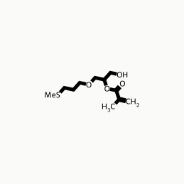 C=C(C)C(=O)OC(CO)COCCCSC